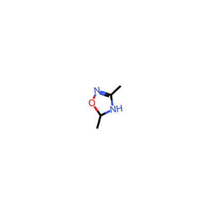 CC1=NOC(C)N1